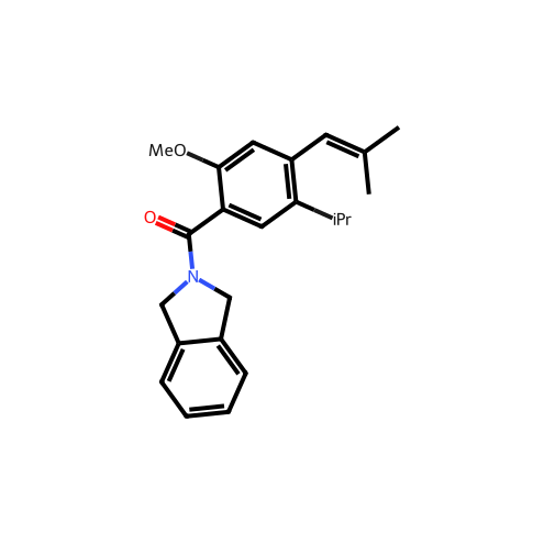 COc1cc(C=C(C)C)c(C(C)C)cc1C(=O)N1Cc2ccccc2C1